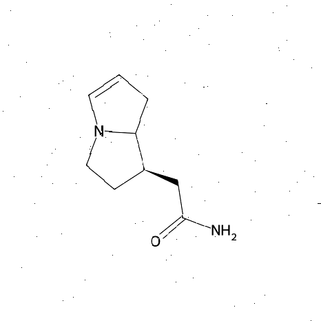 NC(=O)C[C@H]1CCN2C=CCC12